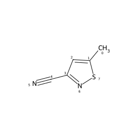 Cc1cc(C#N)ns1